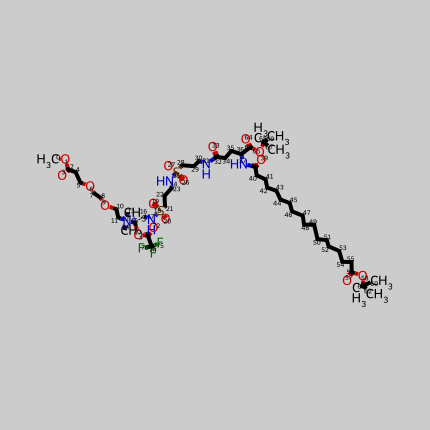 COC(=O)CCOCCOCC[N+](C)(C)[C@H](CNS(=O)(=O)CCCNS(=O)(=O)CCCNC(=O)CCC(NC(=O)CCCCCCCCCCCCCCCCC(=O)OC(C)(C)C)C(=O)OC(C)(C)C)OC(=O)C(F)(F)F